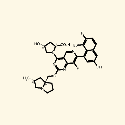 CCc1c(F)ccc2cc(O)cc(-c3ncc4c(N5C[C@H](O)C[C@H]5C(=O)O)nc(OC[C@@]56CCCN5C[C@H](C)C6)nc4c3F)c12